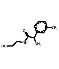 NC(C(=O)NCCO)c1cccc(C(F)(F)F)c1